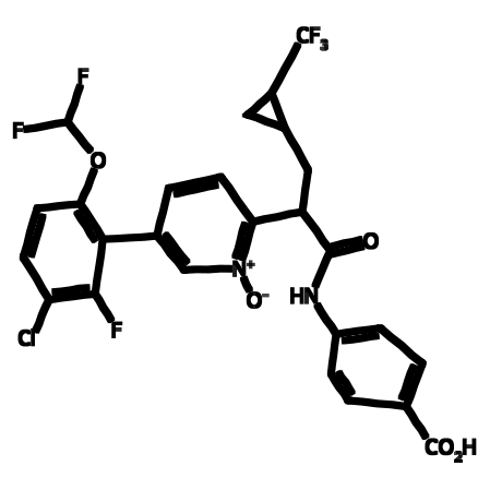 O=C(O)c1ccc(NC(=O)C(CC2CC2C(F)(F)F)c2ccc(-c3c(OC(F)F)ccc(Cl)c3F)c[n+]2[O-])cc1